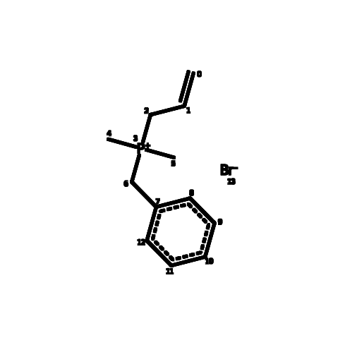 C=CC[P+](C)(C)Cc1ccccc1.[Br-]